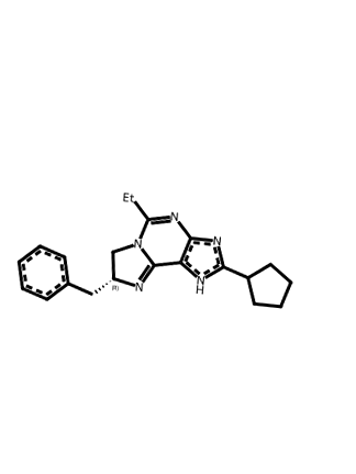 CCC1=Nc2nc(C3CCCC3)[nH]c2C2=N[C@H](Cc3ccccc3)CN12